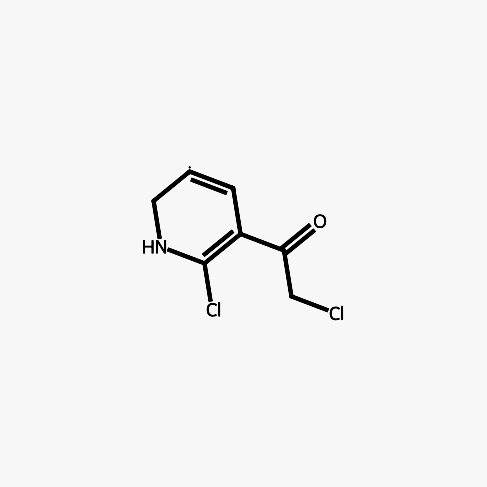 O=C(CCl)C1=C(Cl)NC[C]=C1